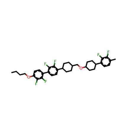 CCCCOc1ccc(-c2ccc(C3CCC(COC4CCC(c5ccc(C)c(F)c5F)CC4)CC3)c(F)c2F)c(F)c1F